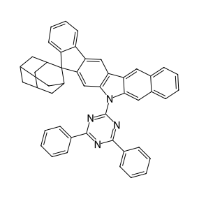 c1ccc(-c2nc(-c3ccccc3)nc(-n3c4cc5c(cc4c4cc6ccccc6cc43)-c3ccccc3C53C4CC5CC(C4)CC3C5)n2)cc1